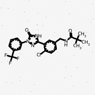 CC(C)(C)C(=O)NCc1ccc(Cl)c(-c2nn(-c3cccc(C(F)(F)F)c3)c(=O)[nH]2)c1